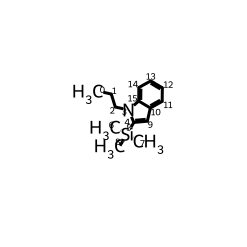 CCCn1c([Si](C)(C)C)cc2ccccc21